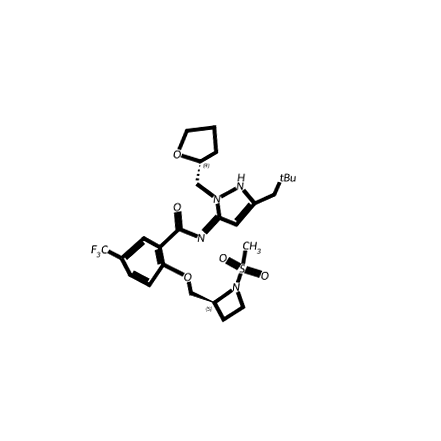 CC(C)(C)Cc1cc(=NC(=O)c2cc(C(F)(F)F)ccc2OC[C@@H]2CCN2S(C)(=O)=O)n(C[C@H]2CCCO2)[nH]1